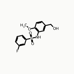 COc1ccc(CO)cc1NS(=O)(=O)c1cccc(F)c1